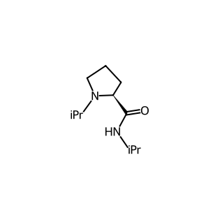 CC(C)NC(=O)[C@@H]1CCCN1C(C)C